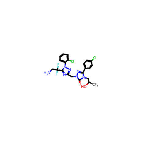 NCC(F)(F)c1nc(Cn2nc(-c3ccc(Cl)cc3)n(CC(O)C(F)(F)F)c2=O)nn1-c1ccccc1Cl